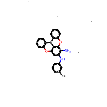 CC(C)(C)c1cccc(Nc2cc3c4c(c2N)Oc2ccccc2B4c2ccccc2O3)c1